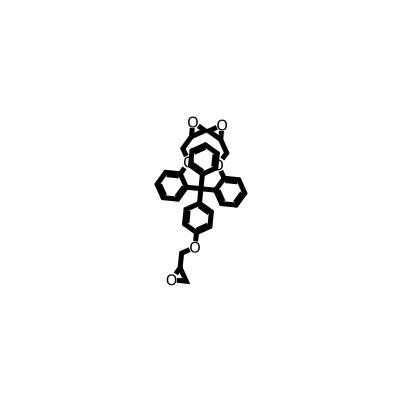 c1ccc(C(c2ccc(OCC3CO3)cc2)(c2ccccc2OCC2CO2)c2ccccc2OCC2CO2)cc1